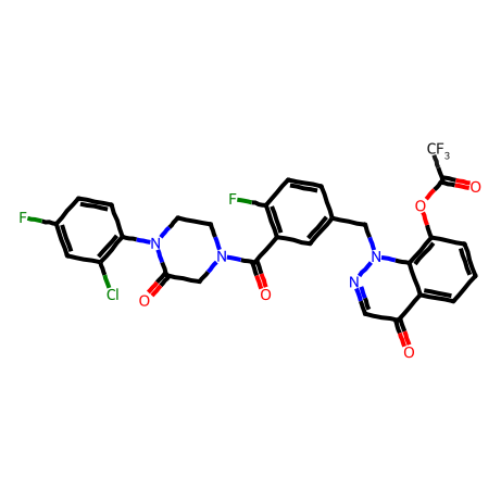 O=C(c1cc(Cn2ncc(=O)c3cccc(OC(=O)C(F)(F)F)c32)ccc1F)N1CCN(c2ccc(F)cc2Cl)C(=O)C1